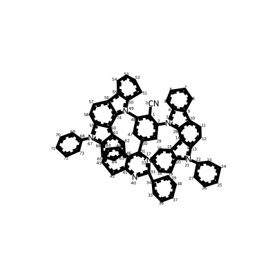 N#Cc1c(-n2c3ccccc3c3ccc4c(c5ccccc5n4-c4ccccc4)c32)cc(-c2nc(-c3ccccc3)nc3ccccc23)cc1-n1c2ccccc2c2ccc3c(c4ccccc4n3-c3ccccc3)c21